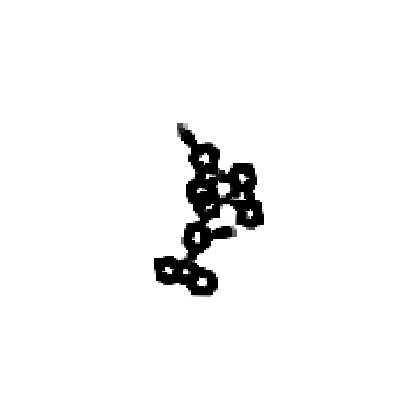 N#Cc1ccc2c(c1)c1ccccc1n2-c1cccc2c3ccccc3n(-c3cccc(-c4ccc(-n5c6ccccc6c6ccccc65)cc4C#N)c3)c12